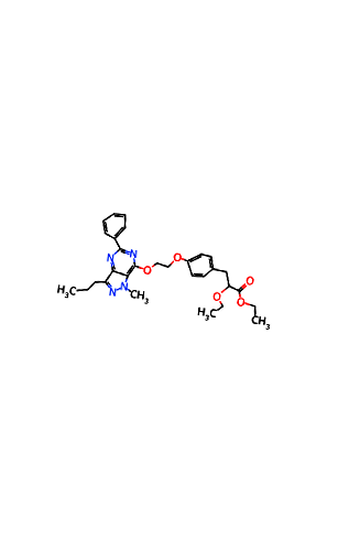 CCCc1nn(C)c2c(OCCOc3ccc(CC(OCC)C(=O)OCC)cc3)nc(-c3ccccc3)nc12